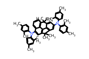 Cc1ccc(N(c2cc3c4c(c2)C(C)(C)c2cccc5c(N(c6ccc(C)cc6C)c6ccc(C)cc6C)cc(c-4c25)C3(C)C)c2ccc(C)cc2C)c(C)c1